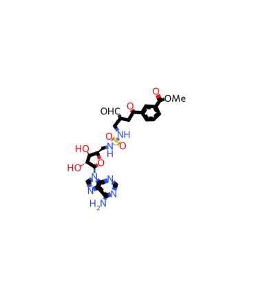 COC(=O)c1cccc(C(=O)CC(C=O)CNS(=O)(=O)NC[C@H]2O[C@@H](n3cnc4c(N)ncnc43)[C@H](O)[C@@H]2O)c1